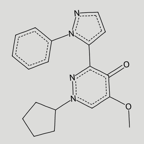 COc1cn(C2CCCC2)nc(-c2ccnn2-c2ccccc2)c1=O